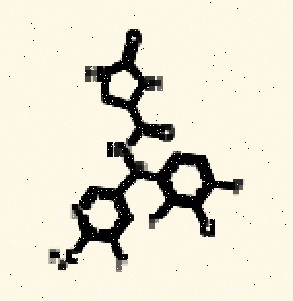 O=C1NCC(C(=O)N[C@H](c2cnc(C(F)(F)F)c(F)c2)c2ccc(F)c(Cl)c2F)N1